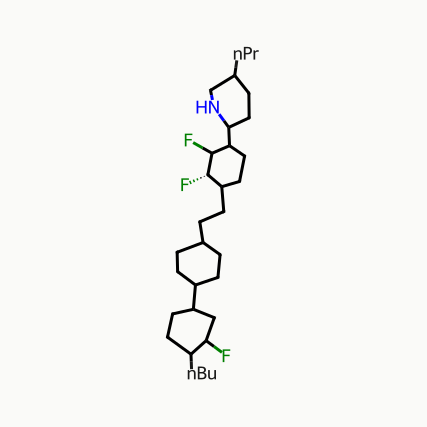 CCCCC1CCC(C2CCC(CCC3CCC(C4CCC(CCC)CN4)C(F)[C@H]3F)CC2)CC1F